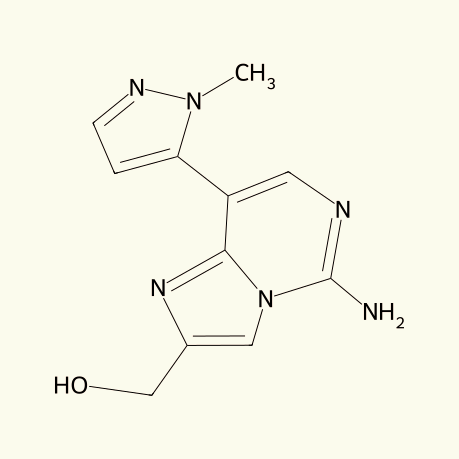 Cn1nccc1-c1cnc(N)n2cc(CO)nc12